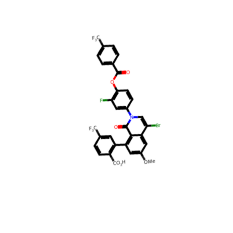 COc1cc(-c2cc(C(F)(F)F)ccc2C(=O)O)c2c(=O)n(-c3ccc(OC(=O)c4ccc(C(F)(F)F)cc4)c(F)c3)cc(Br)c2c1